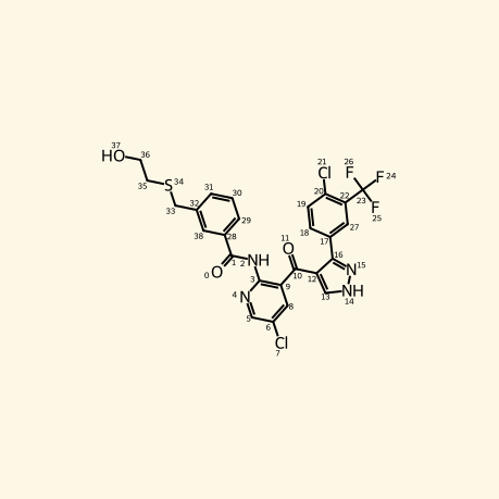 O=C(Nc1ncc(Cl)cc1C(=O)c1c[nH]nc1-c1ccc(Cl)c(C(F)(F)F)c1)c1cccc(CSCCO)c1